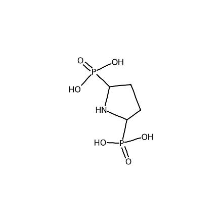 O=P(O)(O)C1CCC(P(=O)(O)O)N1